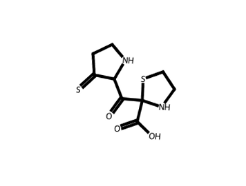 O=C(O)C1(C(=O)C2NCCC2=S)NCCS1